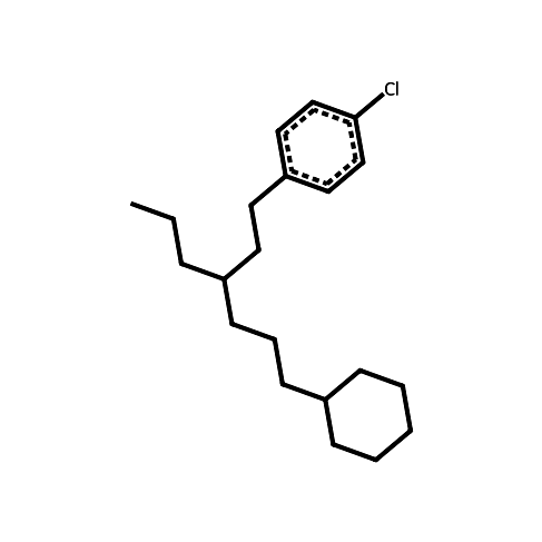 CCCC(CCCC1CCCCC1)CCc1ccc(Cl)cc1